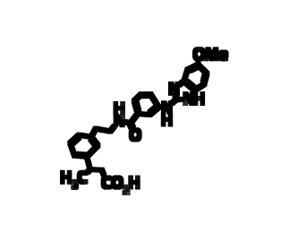 COc1ccc2[nH]c(Nc3cccc(C(=O)NCCc4cccc(C(C)CC(=O)O)c4)c3)nc2c1